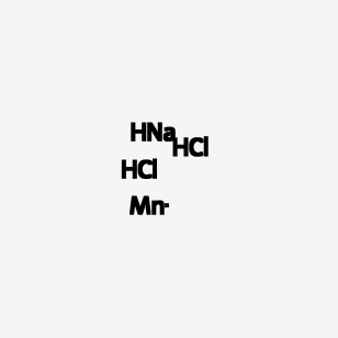 Cl.Cl.[Mn].[NaH]